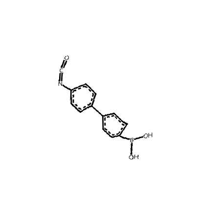 O=C=Nc1ccc(-c2ccc(B(O)O)cc2)cc1